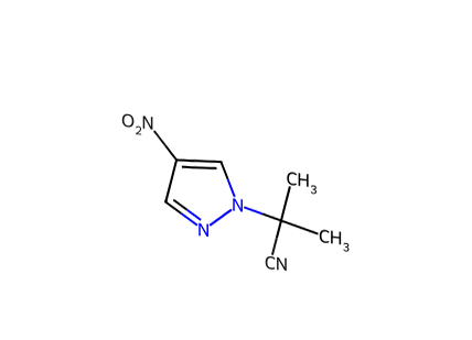 CC(C)(C#N)n1cc([N+](=O)[O-])cn1